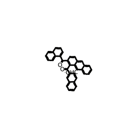 O=[C]c1c2ccccc2cc2ccc(C(=O)c3cccc4ccccc34)c(C(=O)c3ccc4ccccc4c3)c12